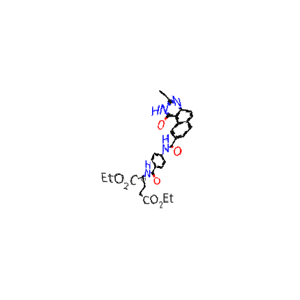 CCOC(=O)CC[C@H](NC(=O)c1ccc(NC(=O)c2ccc3ccc4nc(C)[nH]c(=O)c4c3c2)cc1)C(=O)OCC